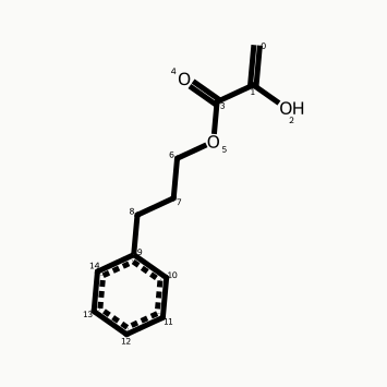 C=C(O)C(=O)OCCCc1ccccc1